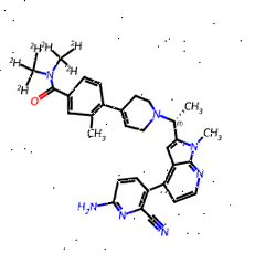 [2H]C([2H])([2H])N(C(=O)c1ccc(C2=CCN([C@H](C)c3cc4c(-c5ccc(N)nc5C#N)ccnc4n3C)CC2)c(C)c1)C([2H])([2H])[2H]